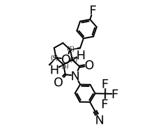 C[C@@]12CC[C@@](Cc3ccc(F)cc3)(O1)[C@@H]1C(=O)N(c3ccc(C#N)c(C(F)(F)F)c3)C(=O)[C@@H]12